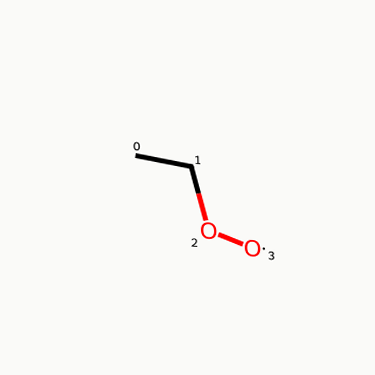 CCO[O]